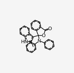 Cc1[nH]c2ccccc2c1C1(N(c2ccccc2)c2ccccc2)OC(=O)c2ccccc21